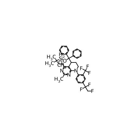 Cc1nc(Cl)c2c(n1)N(c1ccc(C(F)(F)CF)cc1C(F)(F)F)CCC2C(O[SiH2]C(C)(C)C)(c1ccccc1)c1ccccc1